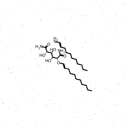 CCCCCCCCC/C=C/N.CCCCCCCCC/C=C/O[C@@H](C(N)=O)[C@@H](O)[C@H](O)[C@H](O)C(N)=O